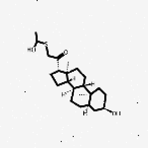 CC(O)SCC(=O)[C@H]1CC[C@H]2[C@@H]3CC[C@@H]4C[C@H](O)CC[C@]4(C)[C@H]3CC[C@]12C